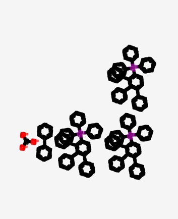 [O-]B([O-])[O-].c1ccc(-c2ccc([P+](c3ccccc3)(c3ccccc3)c3ccccc3)c(-c3ccccc3)c2-c2ccccc2)cc1.c1ccc(-c2ccc([P+](c3ccccc3)(c3ccccc3)c3ccccc3)c(-c3ccccc3)c2-c2ccccc2)cc1.c1ccc(-c2ccc([P+](c3ccccc3)(c3ccccc3)c3ccccc3)c(-c3ccccc3)c2-c2ccccc2)cc1.c1ccc(-c2ccccc2)cc1